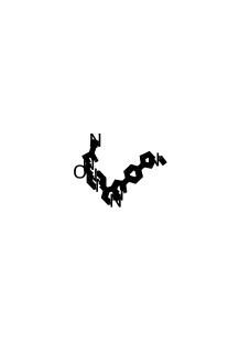 CCN1CCC(c2ccc(-c3cc4c(N5CCN(C(=O)N6CC(C#N)C6)CC5)ccnn4c3)cc2)C1